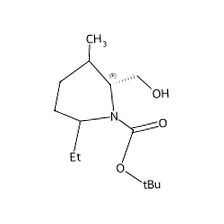 CCC1CCC(C)[C@H](CO)N1C(=O)OC(C)(C)C